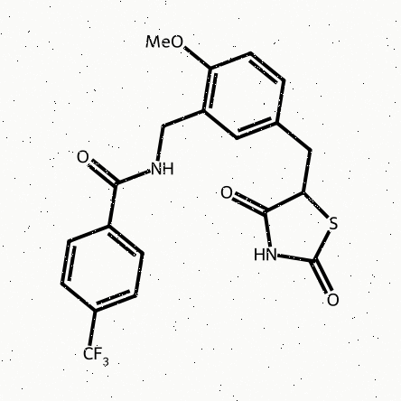 COc1ccc(CC2SC(=O)NC2=O)cc1CNC(=O)c1ccc(C(F)(F)F)cc1